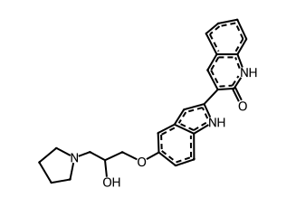 O=c1[nH]c2ccccc2cc1-c1cc2cc(OCC(O)CN3CCCC3)ccc2[nH]1